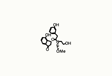 COCCN(CCO)C(=O)Cc1cccc(O)c1.O=C1CCc2c(O)cccc21